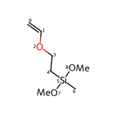 C=COCC[Si](C)(OC)OC